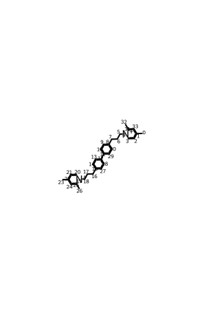 Cc1cc[n+](CCCc2ccc(-c3ccc(CCC[n+]4ccc(C)cc4C)cc3)cc2)c(C)c1